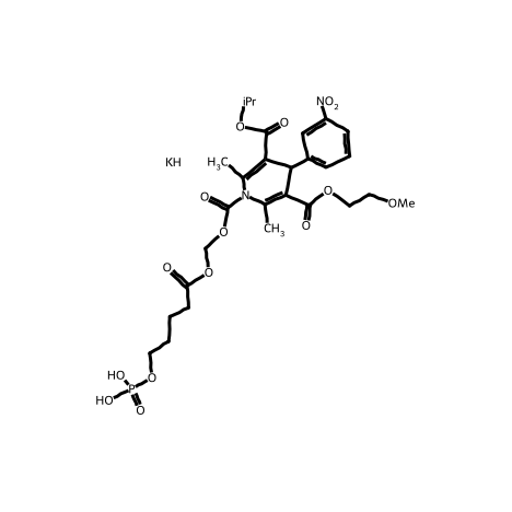 COCCOC(=O)C1=C(C)N(C(=O)OCOC(=O)CCCCOP(=O)(O)O)C(C)=C(C(=O)OC(C)C)C1c1cccc([N+](=O)[O-])c1.[KH]